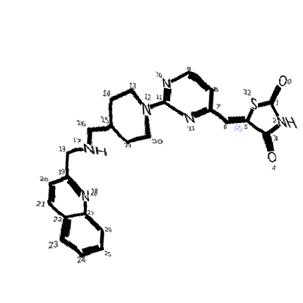 O=C1NC(=O)/C(=C/c2ccnc(N3CCC(CNCc4ccc5ccccc5n4)CC3)n2)S1